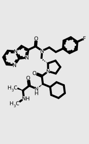 CN[C@@H](C)C(=O)N[C@H](C(=O)N1CCC[C@H]1CN(CCc1ccc(F)cc1)C(=O)c1cn2cccnc2n1)C1CCCCC1